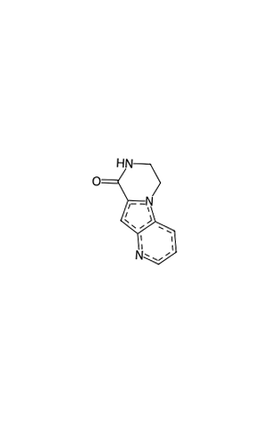 O=C1NCCn2c1cc1ncccc12